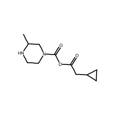 CC1CN(C(=O)OC(=O)CC2CC2)CCN1